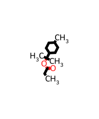 CCC(=O)OC(C)(C)C1CCC(C)CC1